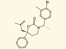 C=C(C)C[C@]1(c2ccccc2)CCN([C@@H](C)c2ccc(Br)c(C)c2)C(=O)O1